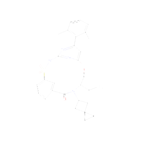 Cc1cccc(C)c1-c1cc2nc(n1)NS(=O)(=O)c1cccc(c1)C(=O)N(C1CC3(CC3)C1)C(CC(F)(F)F)CO2